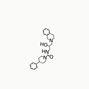 O=C(NCC(O)CN1CCc2ccccc2C1)N1CCC(c2ccccc2)CC1